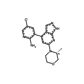 C[C@@H]1COCCN1c1cc(-c2cc(Cl)cnc2N)c2cn[nH]c2n1